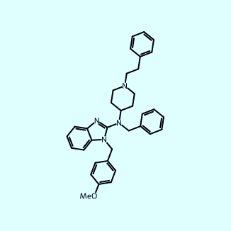 COc1ccc(Cn2c(N(Cc3ccccc3)C3CCN(CCc4ccccc4)CC3)nc3ccccc32)cc1